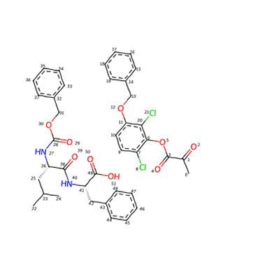 CC(=O)C(=O)Oc1c(Cl)ccc(OCc2ccccc2)c1Cl.CC(C)C[C@H](NC(=O)OCc1ccccc1)C(=O)N[C@@H](Cc1ccccc1)C(=O)O